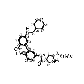 COC[C@H]1C[C@@H](C(=O)Nc2cc(-c3cc(NCC4CCOCC4)ccc3Cl)c(Cl)cn2)CN1